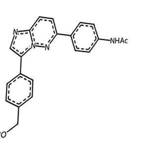 CC(=O)Nc1ccc(-c2ccc3ncc(-c4ccc(CO)cc4)n3n2)cc1